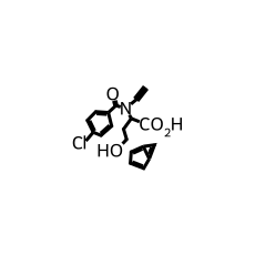 C#CN(C(=O)c1ccc(Cl)cc1)C(CCO)C(=O)O.c1cc2cc-2c1